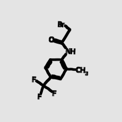 Cc1cc(C(F)(F)F)ccc1NC(=O)CBr